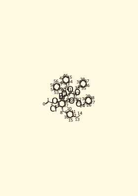 C=CCOc1c(Cl)c(Cc2ccc(CC)cc2)cc([C@@H]2O[C@H](COCc3ccccc3)[C@@H](OCc3ccccc3)[C@H](OCc3ccccc3)[C@H]2OCc2ccccc2)c1Br